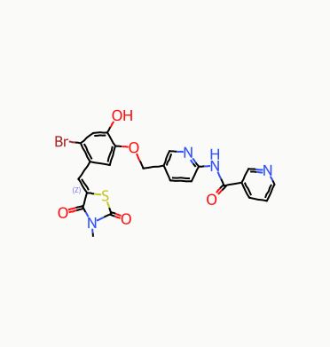 CN1C(=O)S/C(=C\c2cc(OCc3ccc(NC(=O)c4cccnc4)nc3)c(O)cc2Br)C1=O